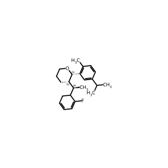 Cc1ccc(C(C)C)cc1[C@H]1OCCC[C@H]1[C@@H](C)C1CC=CC=C1F